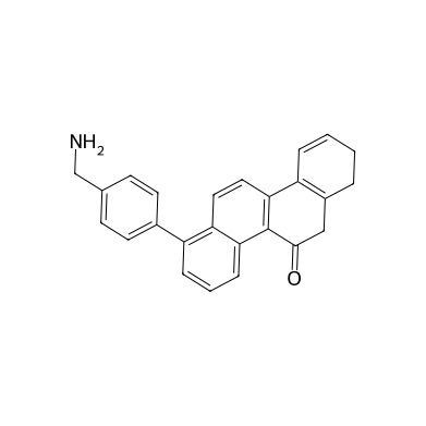 NCc1ccc(-c2cccc3c4c(ccc23)C2=C(CCC=C2)CC4=O)cc1